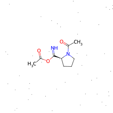 CC(=O)OC(=N)[C@@H]1CCCN1C(C)=O